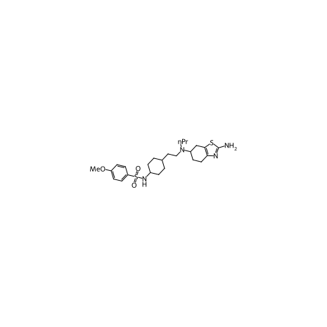 CCCN(CCC1CCC(NS(=O)(=O)c2ccc(OC)cc2)CC1)C1CCc2nc(N)sc2C1